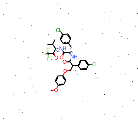 COc1ccc(OCC(C(=O)N[C@@H](Cc2ccc(Cl)cc2)C(=O)N[C@H](C(=O)C(F)(F)F)C(C)C)c2ccc(Cl)cc2)cc1